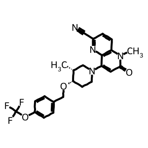 C[C@@H]1CN(c2cc(=O)n(C)c3ccc(C#N)nc23)CC[C@@H]1OCc1ccc(OC(F)(F)F)cc1